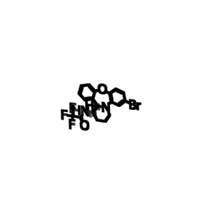 O=C(N[C@H]1CCCN2c3cc(Br)ccc3Oc3ccccc3[C@@H]12)C(F)(F)F